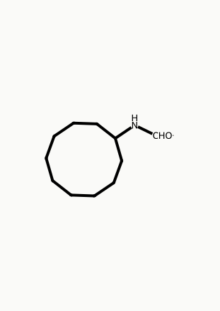 O=[C]NC1CCCCCCCCC1